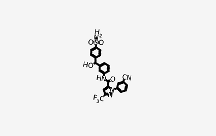 N#Cc1cccc(-n2nc(C(F)(F)F)cc2C(=O)Nc2cccc(C(O)c3ccc(S(N)(=O)=O)cc3)c2)c1